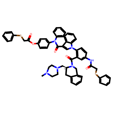 CN1CCN(C[C@@H]2Cc3ccccc3CN2C(=O)c2cc(NC(=O)CSc3ccccc3)ccc2-n2cc(C(=O)N(c3ccccc3)c3ccc(OC(=O)CSc4ccccc4)cc3)c3ccccc32)CC1